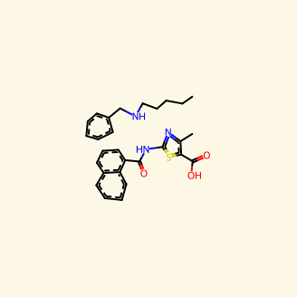 CCCCCNCc1ccccc1.Cc1nc(NC(=O)c2cccc3ccccc23)sc1C(=O)O